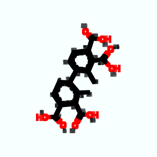 Cc1c(-c2ccc(C(=O)O)c(C(=O)O)c2C)ccc(C(=O)O)c1C(=O)O